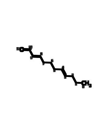 CCCC=CCCCC=C[C]=O